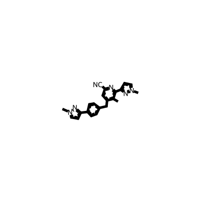 Cc1c(Cc2ccc(-c3ccn(C)n3)cc2)cc(C#N)nc1-c1ccn(C)n1